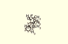 CN([C@@H](Cc1ccccc1)C(=O)C(C)(C)C)C(C)(C)C